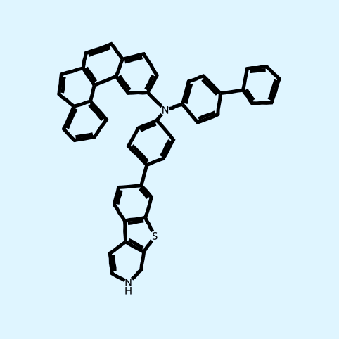 C1=Cc2c(sc3cc(-c4ccc(N(c5ccc(-c6ccccc6)cc5)c5ccc6ccc7ccc8ccccc8c7c6c5)cc4)ccc23)CN1